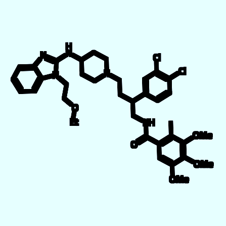 CCOCCn1c(NC2CCN(CCC(CNC(=O)c3cc(OC)c(OC)c(OC)c3C)c3ccc(Cl)c(Cl)c3)CC2)nc2ccccc21